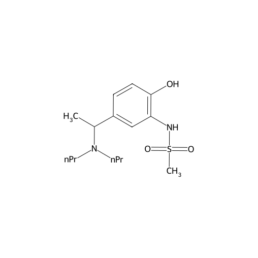 CCCN(CCC)C(C)c1ccc(O)c(NS(C)(=O)=O)c1